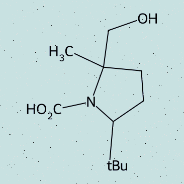 CC(C)(C)C1CCC(C)(CO)N1C(=O)O